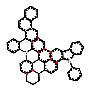 c1ccc(-n2c3ccccc3c3cc(-c4cccc(N(c5ccccc5-c5cccc6c5ccc5ccccc56)c5ccccc5-c5cccc6cccc(C7CCCCC7)c56)c4)ccc32)cc1